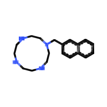 c1ccc2cc(CN3CCNCCNCCNCC3)ccc2c1